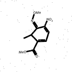 CON=C1C([N+](=O)[O-])=CC=C(C(=O)OC)C1C